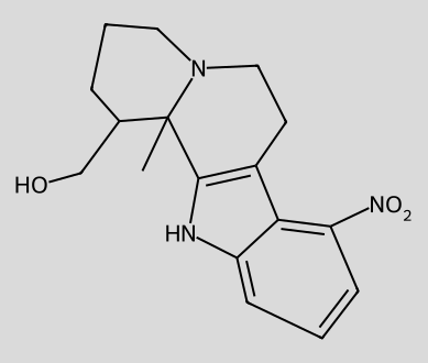 CC12c3[nH]c4cccc([N+](=O)[O-])c4c3CCN1CCCC2CO